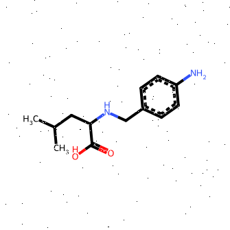 CC(C)CC(NCc1ccc(N)cc1)C(=O)O